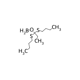 BOC(CC)(SCCCC)SCCCC